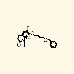 O=C1CCc2cc(F)c(OCCCCOCc3ccccc3)nc2N1